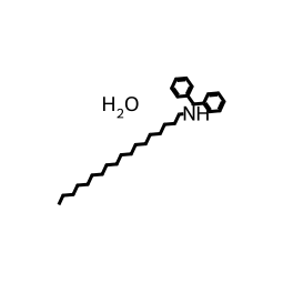 CCCCCCCCCCCCCCCCCCNC(c1ccccc1)c1ccccc1.O